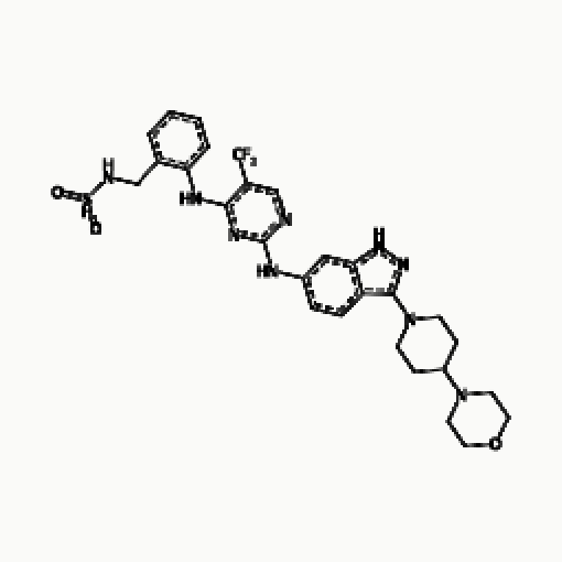 O=[SH](=O)NCc1ccccc1Nc1nc(Nc2ccc3c(N4CCC(N5CCOCC5)CC4)n[nH]c3c2)ncc1C(F)(F)F